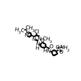 COc1cc(C(=O)Nc2cccc(S(N)(=O)=O)c2)ccc1Nc1ncc(Cl)c(-c2cnn(C(C)C)c2)n1